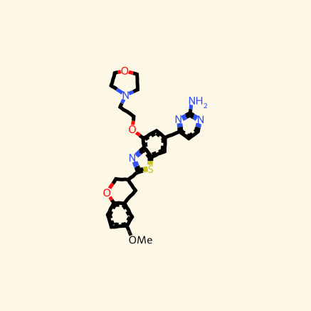 COc1ccc2c(c1)CC(c1nc3c(OCCN4CCOCC4)cc(-c4ccnc(N)n4)cc3s1)CO2